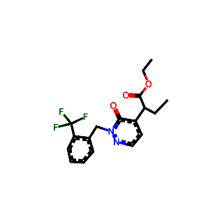 CCOC(=O)C(CC)c1ccnn(Cc2ccccc2C(F)(F)F)c1=O